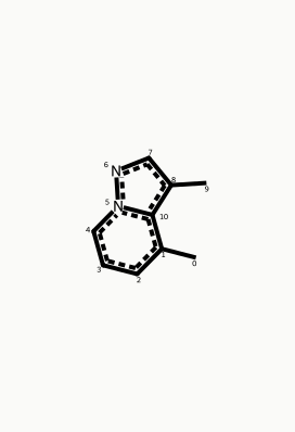 Cc1cccn2ncc(C)c12